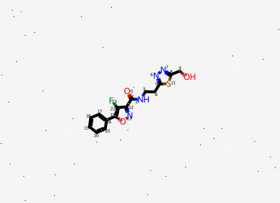 O=C(NCCc1nnc(CO)s1)c1noc(-c2ccccc2)c1F